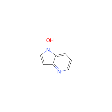 On1ccc2ncccc21